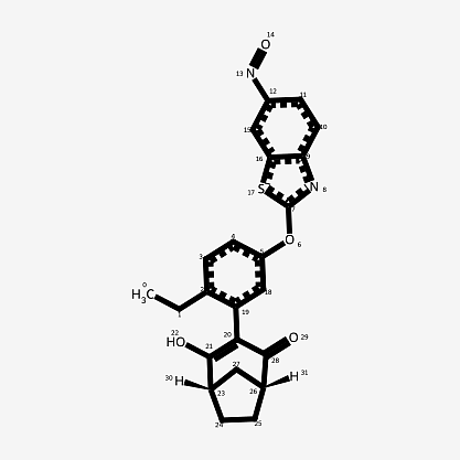 CCc1ccc(Oc2nc3ccc(N=O)cc3s2)cc1C1=C(O)[C@H]2CC[C@H](C2)C1=O